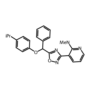 CNc1ncccc1-c1noc(C(Oc2ccc(C(C)C)cc2)c2ccccc2)n1